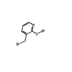 BrSc1cccnc1SBr